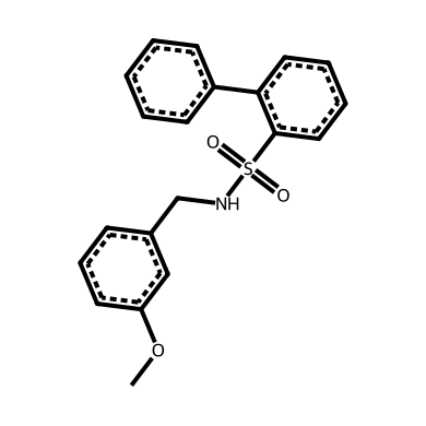 COc1cccc(CNS(=O)(=O)c2ccccc2-c2ccccc2)c1